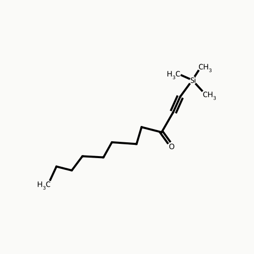 CCCCCCCCC(=O)C#C[Si](C)(C)C